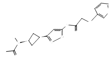 CC(=O)N(C)[C@H]1C[C@@H](c2cc(NC(=O)COc3ccccc3)[nH]n2)C1